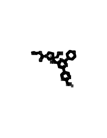 CC(C)(C)OC(=O)N1CC[C@](CO)(Nc2cc(-c3cnc(N)nc3)nc(N3CCOCC3)n2)C1